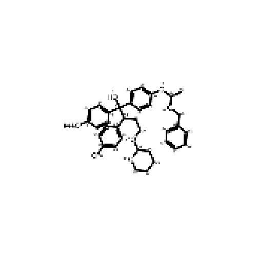 COc1ccc(C(O)(c2ccc(OC(C)OCc3ccccc3)cc2)C(CCOC2CCCCO2)c2ccc(Cl)cc2)cc1